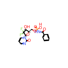 O=C(NP(=O)(O)OC[C@H]1O[C@@H](n2cc[c]nc2=O)C(F)(F)[C@@H]1O)c1ccccc1